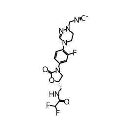 [C-]#[N+]CN1CCN(c2ccc(N3C[C@H](CNC(=O)C(F)F)OC3=O)cc2F)C=N1